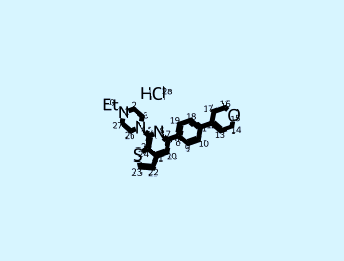 CCN1CCN(c2nc(-c3ccc(C4=CCOCC4)cc3)cc3ccsc23)CC1.Cl